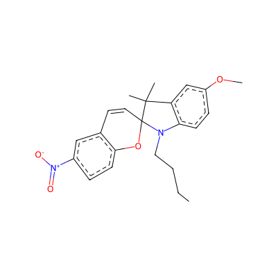 CCCCN1c2ccc(OC)cc2C(C)(C)C12C=Cc1cc([N+](=O)[O-])ccc1O2